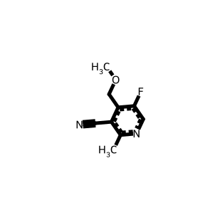 COCc1c(F)cnc(C)c1C#N